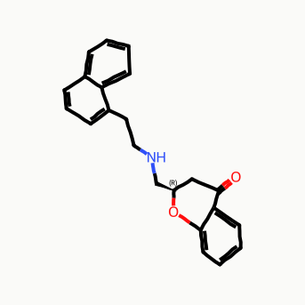 O=C1C[C@H](CNCCc2cccc3ccccc23)Oc2ccccc21